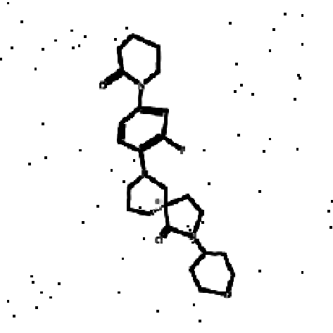 O=C1CCCCN1c1ccc(N2CCC[C@@]3(CCN(C4CCOCC4)C3=O)C2)c(F)c1